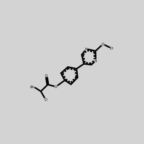 CCOc1ncc(-c2ccc(OC(=O)C(Cl)C(C)CC)cc2)cn1